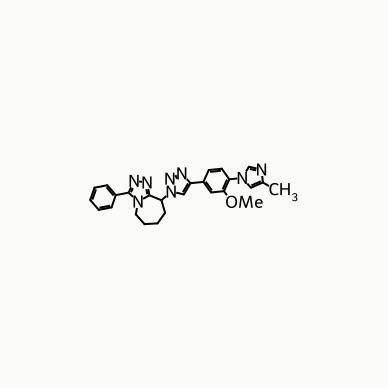 COc1cc(-c2cn(C3CCCCn4c(-c5ccccc5)nnc43)nn2)ccc1-n1cnc(C)c1